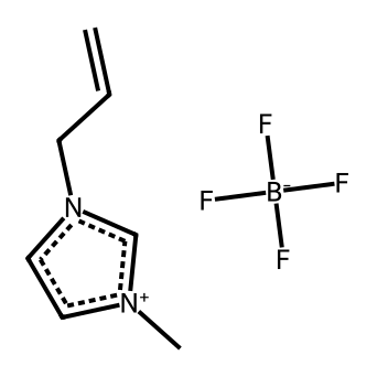 C=CCn1cc[n+](C)c1.F[B-](F)(F)F